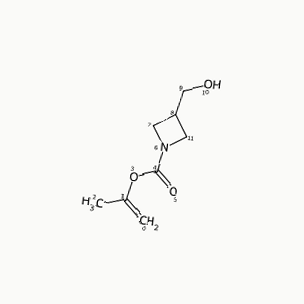 C=C(C)OC(=O)N1CC(CO)C1